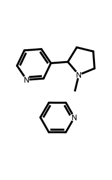 CN1CCCC1c1cccnc1.c1ccncc1